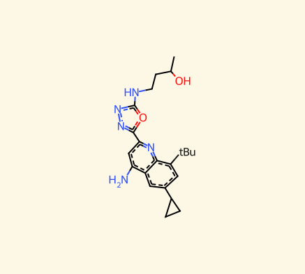 CC(O)CCNc1nnc(-c2cc(N)c3cc(C4CC4)cc(C(C)(C)C)c3n2)o1